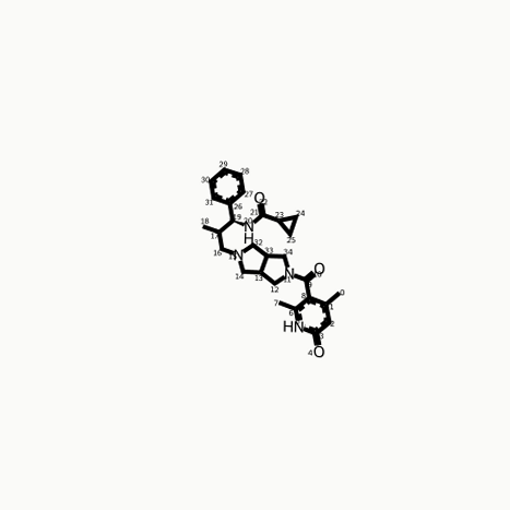 Cc1cc(=O)[nH]c(C)c1C(=O)N1CC2CN(CC(C)[C@H](NC(=O)C3CC3)c3ccccc3)CC2C1